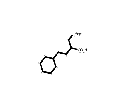 CCCCCCCCC(CCC1CCCCC1)C(=O)O